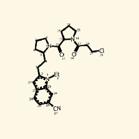 CCn1c(CCC2CCCN2C(=O)C2CCCN2C(=O)CCCl)cc2ccc(C#N)cc21